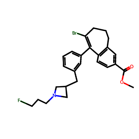 COC(=O)c1ccc2c(c1)CCCC(Br)=C2c1cccc(CC2CN(CCCF)C2)c1